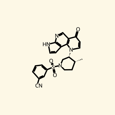 C[C@@H]1CCN(S(=O)(=O)c2cccc(C#N)c2)C[C@@H]1n1ccc(=O)c2cnc3[nH]ccc3c21